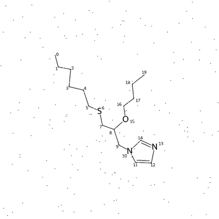 CCCCCCSCC(Cn1ccnc1)OCCCC